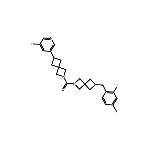 O=C(N1CC2(CC(Cc3ccc(F)cc3F)C2)C1)N1CC2(CC(c3cncc(F)c3)C2)C1